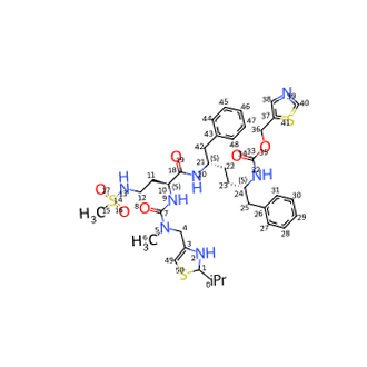 CC(C)C1NC(CN(C)C(=O)N[C@@H](CCNS(C)(=O)=O)C(=O)N[C@@H](CC[C@@H](Cc2ccccc2)NC(=O)OCc2cncs2)Cc2ccccc2)=CS1